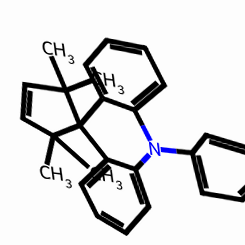 CC1(C)C=CC(C)(C)C12c1ccccc1N(c1ccccc1)c1ccccc12